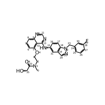 CN(CCOc1cccc2ncnc(Nc3ccc4c(cnn4Cc4cccc(F)c4)c3)c12)C(=O)CO